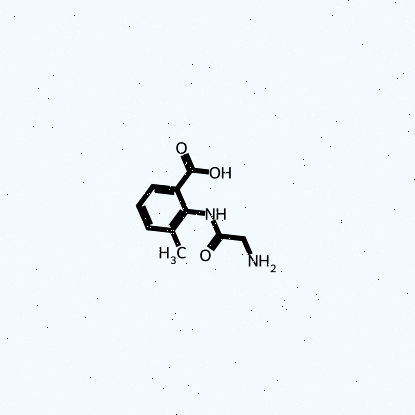 Cc1cccc(C(=O)O)c1NC(=O)CN